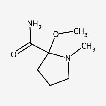 COC1(C(N)=O)CCCN1C